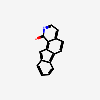 O=C1N=CC=c2ccc3c(c21)C=c1ccccc1=3